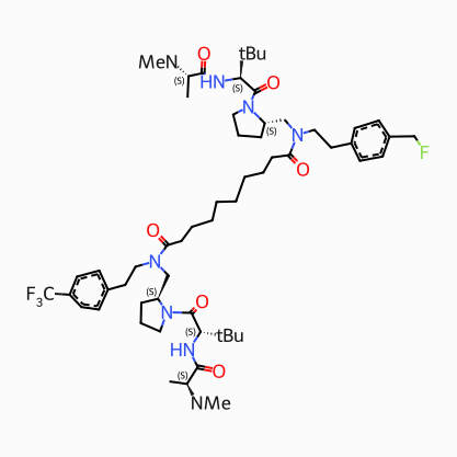 CN[C@@H](C)C(=O)N[C@H](C(=O)N1CCC[C@H]1CN(CCc1ccc(CF)cc1)C(=O)CCCCCCCCC(=O)N(CCc1ccc(C(F)(F)F)cc1)C[C@@H]1CCCN1C(=O)[C@@H](NC(=O)[C@H](C)NC)C(C)(C)C)C(C)(C)C